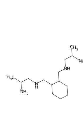 CC(N)CNCC1CCCCC1CNCC(C)N